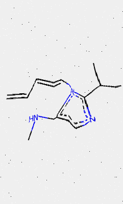 C=C/C=C\n1c(NC)cnc1C(C)C